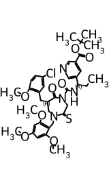 CC[C@@H](NC(=O)N1CC(=S)N(Cc2c(OC)cc(OC)cc2OC)C[C@@H](Cc2cc(Cl)ccc2OC)C1=O)c1cncc(C(=O)OC(C)(C)C)c1